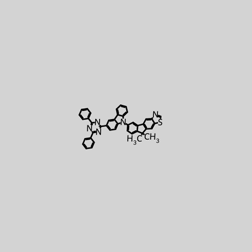 CC1(C)c2ccc(-n3c4ccccc4c4cc(-c5nc(-c6ccccc6)nc(-c6ccccc6)n5)ccc43)cc2-c2cc3ncsc3cc21